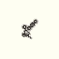 C=C/C=C(O)\C=C/C/C(=C(\CCCO)c1ccccc1)c1ccc(N2CCN(C3CCCC3)CC2)cc1